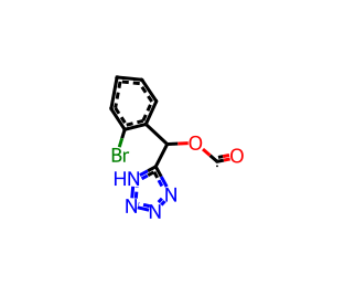 O=[C]OC(c1nnn[nH]1)c1ccccc1Br